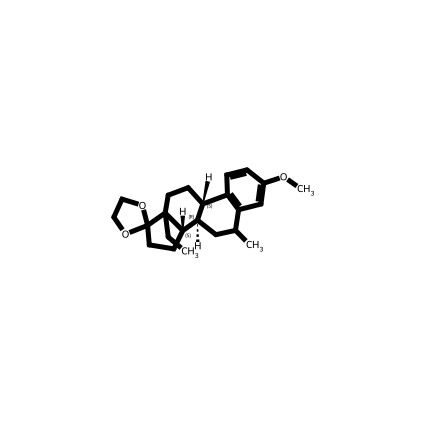 CCC12CC[C@@H]3c4ccc(OC)cc4C(C)C[C@H]3[C@@H]1CCC21OCCO1